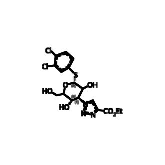 CCOC(=O)c1cn([C@@H]2C(O)[C@@H](Sc3ccc(Cl)c(Cl)c3)OC(CO)[C@@H]2O)nn1